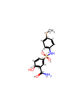 CSc1ccc(NS(=O)(=O)c2ccc(O)c(C(N)=O)c2)cc1